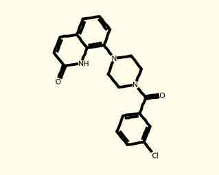 O=C(c1cccc(Cl)c1)N1CCN(c2cccc3ccc(=O)[nH]c23)CC1